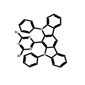 Brc1nc(Br)nc(-c2c3c(cc4c5ccccc5n(-c5ccccc5)c24)c2ccccc2n3-c2ccccc2)n1